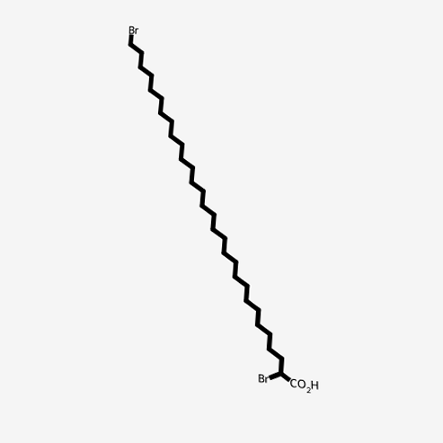 O=C(O)C(Br)CCCCCCCCCCCCCCCCCCCCCCCCCCCCBr